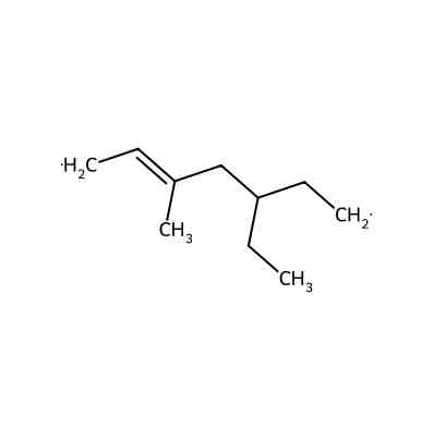 [CH2]/C=C(\C)CC(C[CH2])CC